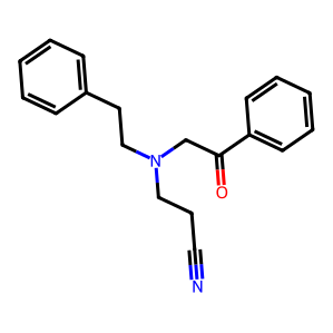 N#CCCN(CCc1ccccc1)CC(=O)c1ccccc1